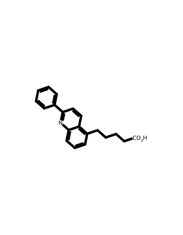 O=C(O)CCCCc1cccc2nc(-c3ccccc3)ccc12